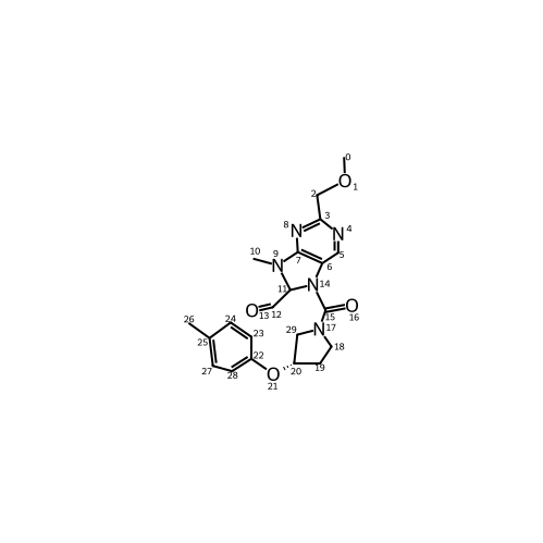 COCc1ncc2c(n1)N(C)C(C=O)N2C(=O)N1CC[C@H](Oc2ccc(C)cc2)C1